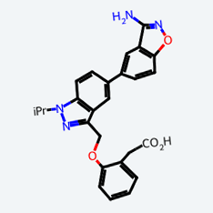 CC(C)n1nc(COc2ccccc2CC(=O)O)c2cc(-c3ccc4onc(N)c4c3)ccc21